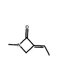 CC=C1CN(C)C1=O